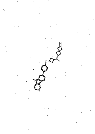 Cn1c2ccncc2c2ccc(-c3ccc(O[C@H]4C[C@H](N(C)C5CC6(CNC6)C5)C4)cc3)cc21